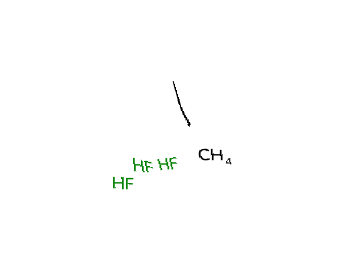 C.CC.F.F.F